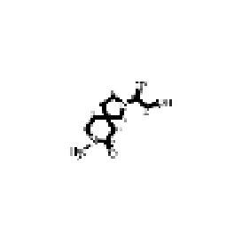 CN1CCC2(CCN(C(=O)CO)C2)CC1=O